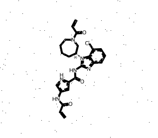 C=CC(=O)Nc1c[nH]c(C(=O)Nc2nc3cccc(Cl)c3n2[C@@H]2CCCCN(C(=O)C=C)C2)c1